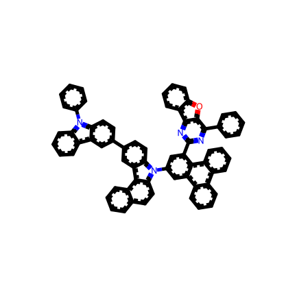 c1ccc(-c2nc(-c3cc(-n4c5ccc(-c6ccc7c(c6)c6ccccc6n7-c6ccccc6)cc5c5c6ccccc6ccc54)cc4c5ccccc5c5ccccc5c34)nc3c2oc2ccccc23)cc1